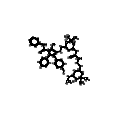 CC(C)c1c(C(=O)Nc2ccccc2)c(-c2ccccc2)c(-c2ccc(F)cc2)n1CCC1CC(CC(=O)NCCC2CC(CC(=O)O)OC(C)(C)O2)OC(C)(C)O1